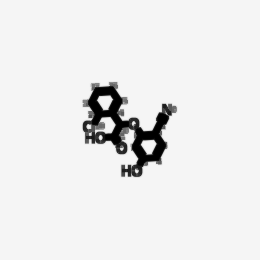 N#Cc1ccc(O)cc1OC(C(=O)O)c1ccccc1Cl